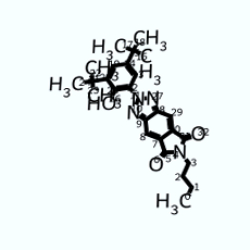 CCCCN1C(=O)c2cc3nn(-c4cc(C(C)(C)C)cc(C(C)(C)C)c4O)nc3cc2C1=O